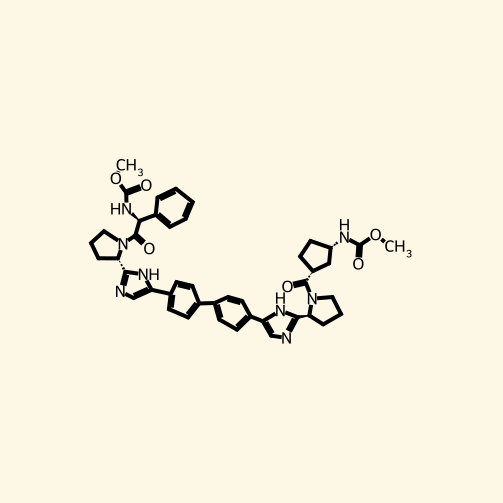 COC(=O)N[C@H]1CC[C@@H](C(=O)N2CCC[C@H]2c2ncc(-c3ccc(-c4ccc(-c5cnc([C@@H]6CCCN6C(=O)[C@@H](NC(=O)OC)c6ccccc6)[nH]5)cc4)cc3)[nH]2)C1